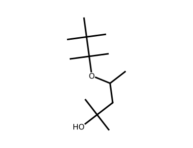 CC(CC(C)(C)O)OC(C)(C)C(C)(C)C